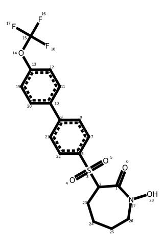 O=C1C(S(=O)(=O)c2ccc(-c3ccc(OC(F)(F)F)cc3)cc2)CCCCN1O